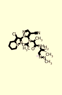 C=C(/C=N\N(C)C)NC(=O)C(C)N(C(C)=O)c1c(C#N)cnn1-c1nn2c(c1Cl)CCCC2